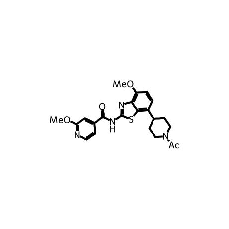 COc1cc(C(=O)Nc2nc3c(OC)ccc(C4CCN(C(C)=O)CC4)c3s2)ccn1